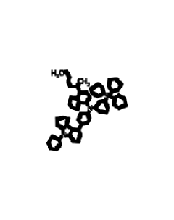 C=C(/C=C\C=C/C)c1ccc(N(c2ccc(-c3cccc4c3c3ccccc3n4-c3ccccc3)cc2)c2cccc([Si](c3ccccc3)(c3ccccc3)c3ccccc3)c2)c2ccccc12